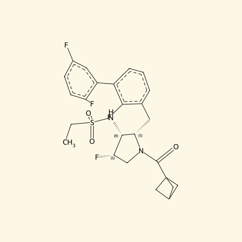 CCS(=O)(=O)N[C@H]1[C@@H](F)CN(C(=O)C23CC(C2)C3)[C@H]1Cc1cccc(-c2cc(F)ccc2F)c1F